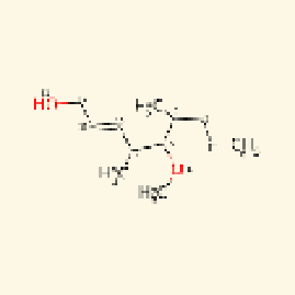 CCCC(C)C(OC)C(C)C=CCO